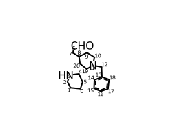 C1CCNCC1.O=CCC1CCN(Cc2ccccc2)CC1